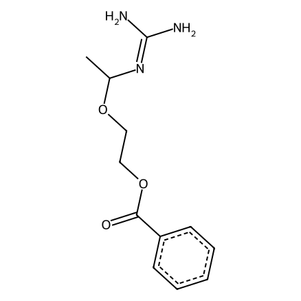 CC(N=C(N)N)OCCOC(=O)c1ccccc1